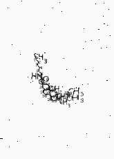 CCCCCCCNC(=O)O[C@H]1CC[C@@]2(C)C(=CCC3C2CC[C@@]2(C)C3CC[C@@H]2[C@H](C)CCCC(C)C)C1